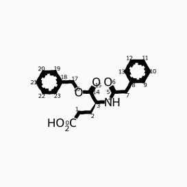 O=C(O)CC[C@H](NC(=O)Cc1ccccc1)C(=O)OCc1ccccc1